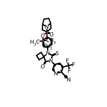 CC(C)(C)OC(=O)N1C2CCC1CC(c1ccc(N3C(=S)N(c4cnc(C#N)c(C(F)(F)F)c4)C(=O)C34CCC4)cc1)C2